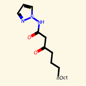 CCCCCCCCCCCC(=O)CC(=O)Nn1cccn1